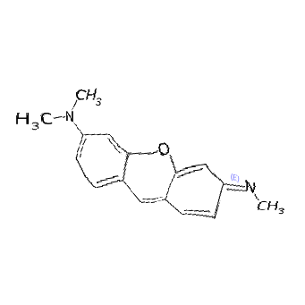 C/N=c1\ccc2cc3ccc(N(C)C)cc3oc-2c1